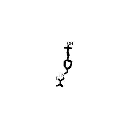 C=C(C)C(F)CNCc1ccc(C#CC(C)(C)O)cc1